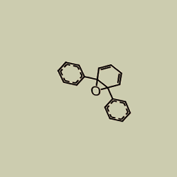 C1=CC2(c3ccccc3)OC2(c2ccccc2)C=C1